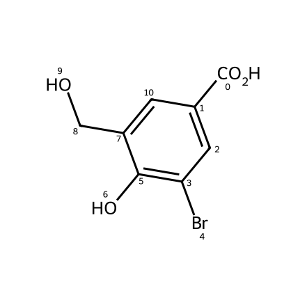 O=C(O)c1cc(Br)c(O)c(CO)c1